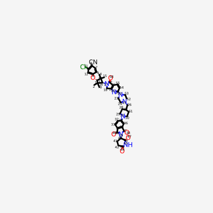 CC1(C)[C@H](Oc2ccc(C#N)c(Cl)c2)C(C)(C)[C@H]1N1Cc2nc(N3CCN(CC4CCN(c5ccc6c(c5)C(=O)N(C5CCC(=O)NC5=O)C6=O)CC4)CC3)ccc2C1=O